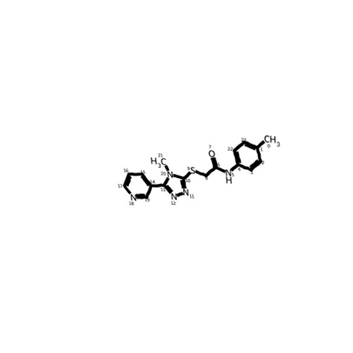 Cc1ccc(NC(=O)CSc2nnc(-c3cccnc3)n2C)cc1